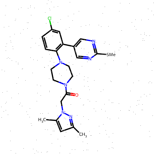 CSc1ncc(-c2cc(Cl)ccc2N2CCN(C(=O)Cn3nc(C)cc3C)CC2)cn1